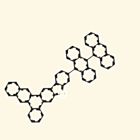 c1ccc2cc3c(cc2c1)c1ccccc1c1cc2oc4cc(-c5c6ccccc6c(-c6c7ccccc7cc7ccccc67)c6ccccc56)ccc4c2cc31